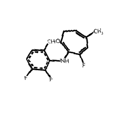 CC1=CCC=C(Nc2c(C=O)ccc(F)c2F)C(F)=C1